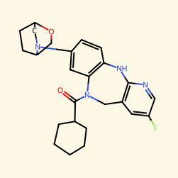 O=C(C1CCCCC1)N1Cc2cc(F)cnc2Nc2ccc(N3CC4CCC3CO4)cc21